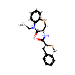 CC(=O)S[C@@H](Cc1ccccc1)C(=O)N[C@H]1CSc2ccccc2N(CC(=O)O)C1=O